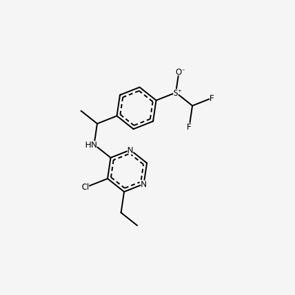 CCc1ncnc(NC(C)c2ccc([S+]([O-])C(F)F)cc2)c1Cl